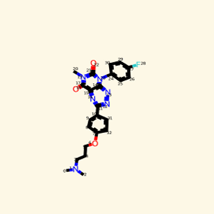 CN(C)CCCOc1ccc(-c2nnc3c(n2)c(=O)n(C)c(=O)n3-c2ccc(F)cc2)cc1